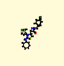 CN1C(=NC2CCCCCC2)SCC1CC(=O)NCc1ccc(Cl)cc1.Cl